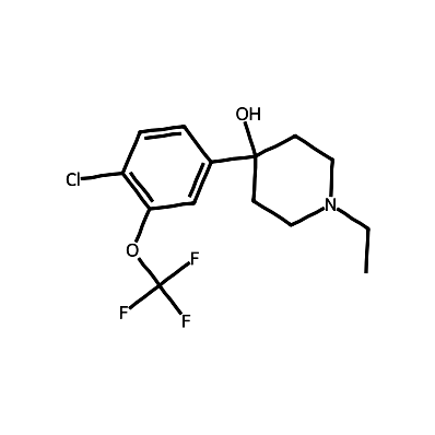 CCN1CCC(O)(c2ccc(Cl)c(OC(F)(F)F)c2)CC1